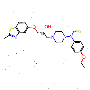 CCOc1ccc(N(C=S)N2CCN(C[C@@H](O)COc3ccc4sc(C)nc4c3)CC2)cc1